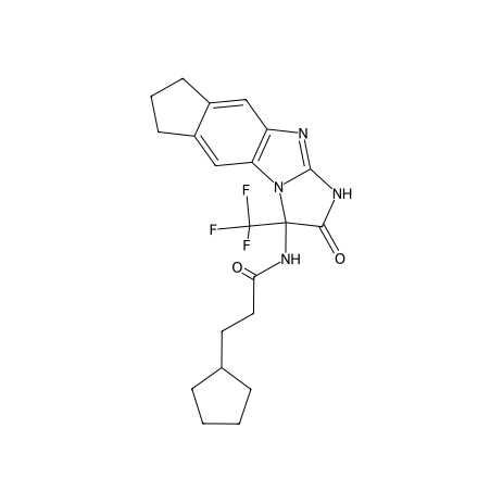 O=C(CCC1CCCC1)NC1(C(F)(F)F)C(=O)Nc2nc3cc4c(cc3n21)CCC4